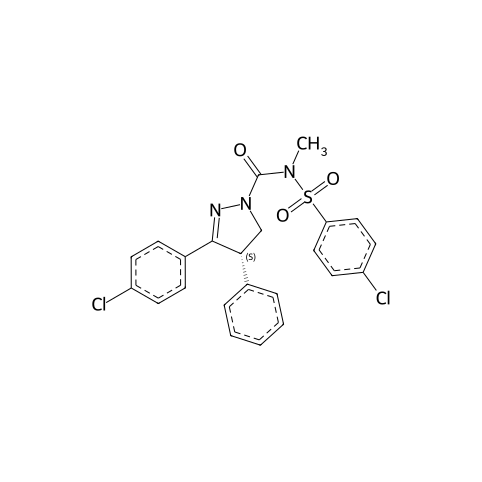 CN(C(=O)N1C[C@H](c2ccccc2)C(c2ccc(Cl)cc2)=N1)S(=O)(=O)c1ccc(Cl)cc1